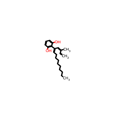 C=CC(C)=CC(=CCCCCCCCCC)c1c(O)cccc1O